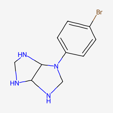 Brc1ccc(N2CNC3NCNC32)cc1